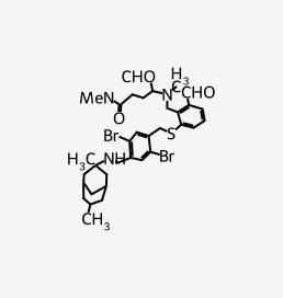 CNC(=O)CCC(C=O)N(C)Cc1c(C=O)cccc1SCc1cc(Br)c(CNC2(C)CC3CC(C)CC(C3)C2)cc1Br